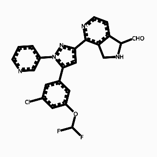 O=CC1NCc2c1ccnc2-c1cc(-c2cc(Cl)cc(OC(F)F)c2)n(-c2cccnc2)n1